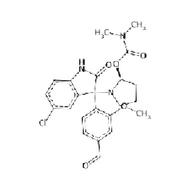 COc1cc(C=O)ccc1C1(N2CCC[C@@H]2OC(=O)N(C)C)C(=O)Nc2ccc(Cl)cc21